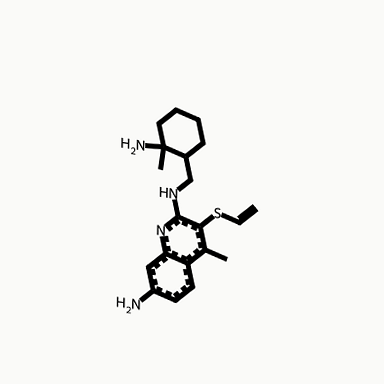 C=CSc1c(NCC2CCCCC2(C)N)nc2cc(N)ccc2c1C